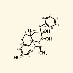 C=CC[C@@]12C[C@H](O)[C@](O)(Cc3ccccc3)C[C@H]1CCc1cc(O)ccc12